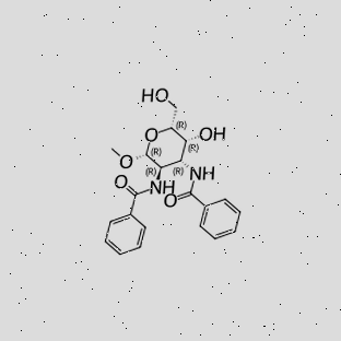 CO[C@@H]1O[C@H](CO)[C@H](O)[C@H](NC(=O)c2ccccc2)[C@H]1NC(=O)c1ccccc1